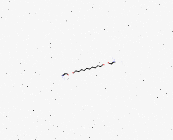 C/C(N)=C/C(=O)OCCCCCCCCCCCCOC(=O)/C=C(/C)N